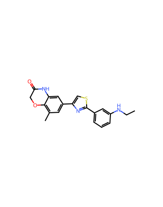 CCNc1cccc(-c2nc(-c3cc(C)c4c(c3)NC(=O)CO4)cs2)c1